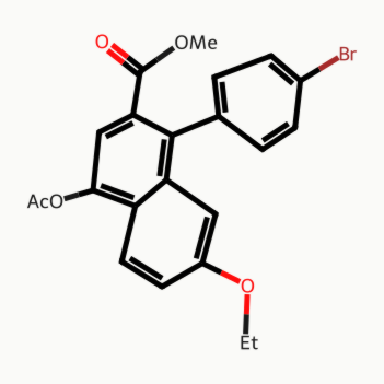 CCOc1ccc2c(OC(C)=O)cc(C(=O)OC)c(-c3ccc(Br)cc3)c2c1